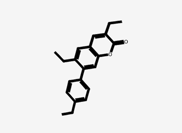 CCc1ccc(-c2cc3oc(=O)c(CC)cc3cc2CC)cc1